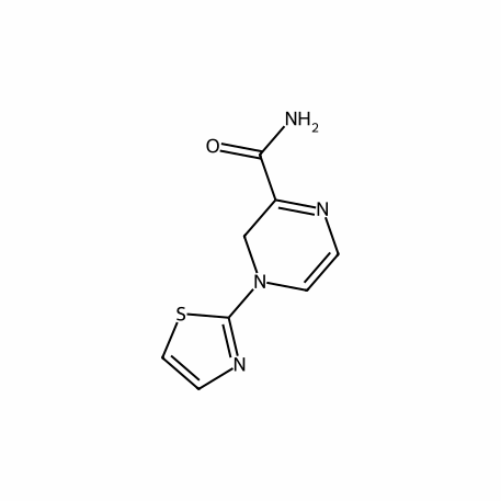 NC(=O)C1=NC=CN(c2nccs2)C1